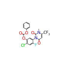 Cn1c(C(F)(F)F)cc(=O)n(-c2cc(OC(=O)Oc3ccccc3)c(Cl)cc2F)c1=O